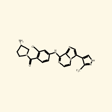 N[C@H]1CCN(C(=O)c2ccc(Nc3nccn4c(-c5c[nH]nc5C(F)(F)F)cnc34)cc2Cl)C1